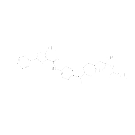 CC(C)(CC1CCC(Nc2ccc(NC(=O)c3nc(-c4ccccc4)oc3C(F)(F)F)cc2)CC1)OC(N)=O